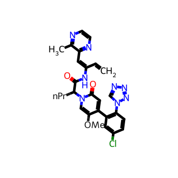 C=C/C(=C\c1nccnc1C)NC(=O)C(CCC)n1cc(OC)c(-c2cc(Cl)ccc2-n2cnnn2)cc1=O